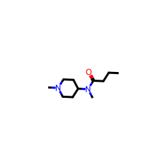 CCCC(=O)N(C)C1CCN(C)CC1